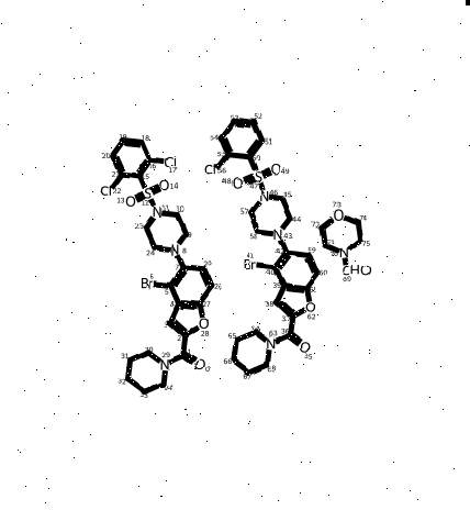 O=C(c1cc2c(Br)c(N3CCN(S(=O)(=O)c4c(Cl)cccc4Cl)CC3)ccc2o1)N1CCCCC1.O=C(c1cc2c(Br)c(N3CCN(S(=O)(=O)c4ccccc4Cl)CC3)ccc2o1)N1CCCCC1.O=CN1CCOCC1